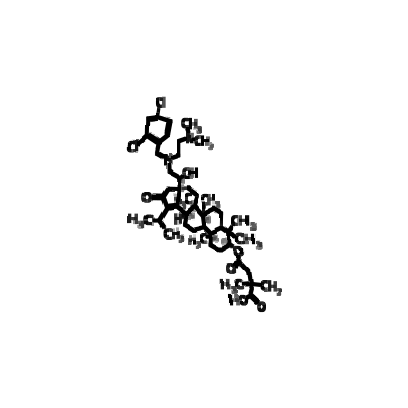 CC(C)C1=C2[C@H]3CCC4[C@@]5(C)CC[C@H](OC(=O)CC(C)(C)C(=O)O)C(C)(C)C5CC[C@@]4(C)[C@]3(C)CC[C@@]2([C@H](O)CN(CCN(C)C)Cc2ccc(Cl)cc2Cl)CC1=O